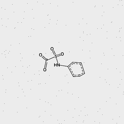 O=P(=O)S(=O)(=O)Nc1ccccc1